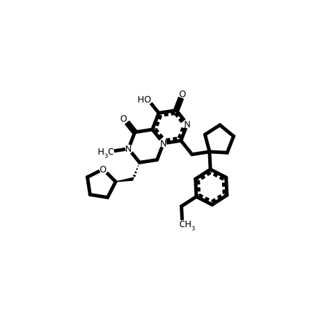 CCc1cccc(C2(Cc3nc(=O)c(O)c4n3C[C@H](C[C@H]3CCCO3)N(C)C4=O)CCCC2)c1